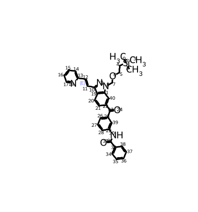 C[Si](C)(C)CCOCn1nc(/C=C/c2ccccn2)c2ccc(C(=O)c3cccc(NC(=O)c4ccccc4)c3)cc21